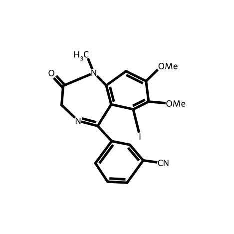 COc1cc2c(c(I)c1OC)C(c1cccc(C#N)c1)=NCC(=O)N2C